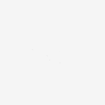 O=C(C1=C(O)C(=O)N(CCN2CCOCC2)C1c1cccc(Cl)c1)c1ccc2c(c1)OCO2